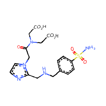 NS(=O)(=O)c1ccc(CNCc2nccn2CC(=O)N(CC(=O)O)CC(=O)O)cc1